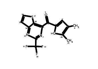 Cc1cc(C(=O)c2nc(C(F)(F)F)nc3ccsc23)oc1C